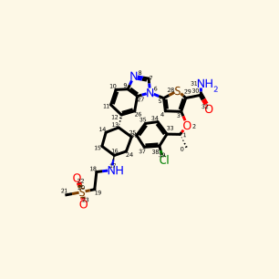 C[C@@H](Oc1cc(-n2cnc3ccc([C@H]4CC[C@H](NCCS(C)(=O)=O)CC4)cc32)sc1C(N)=O)c1ccccc1Cl